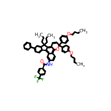 CCCCOc1ccc(C2(c3ccc(OCCCC)cc3)C=Cc3c4c(c5cc(NC(=O)c6ccc(C(F)(F)F)cc6)ccc5c3O2)-c2ccc(-c3ccccc3)cc2C4(CCC)CCC)cc1